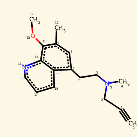 C#CCN(C)CCc1cc(C)c(OC)c2ncccc12